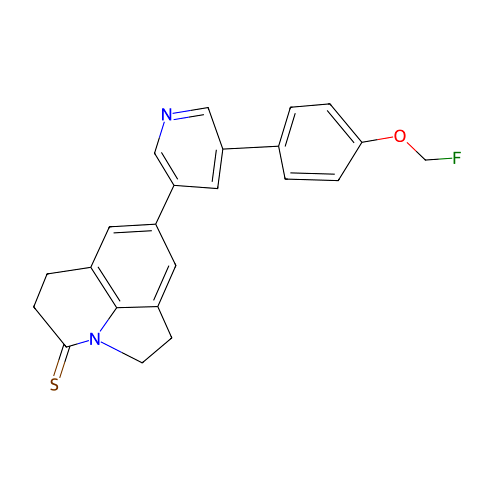 FCOc1ccc(-c2cncc(-c3cc4c5c(c3)CCN5C(=S)CC4)c2)cc1